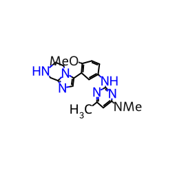 CNc1cc(C)nc(Nc2ccc(OC)c(-c3cnc4n3CCNC4)c2)n1